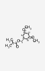 C=C(C)C(=O)OCc1cc(OC)cc(OC)c1